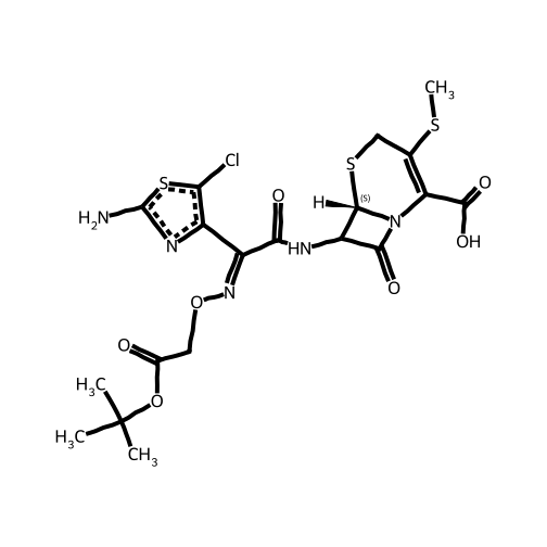 CSC1=C(C(=O)O)N2C(=O)C(NC(=O)C(=NOCC(=O)OC(C)(C)C)c3nc(N)sc3Cl)[C@@H]2SC1